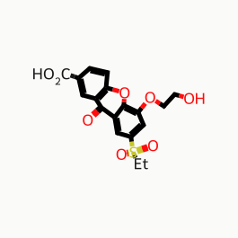 CCS(=O)(=O)c1cc(OCCO)c2oc3ccc(C(=O)O)cc3c(=O)c2c1